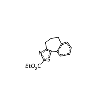 CCOC(=O)c1nc2c(s1)-c1ccccc1CCC2